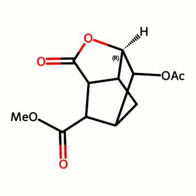 COC(=O)C1C2CC3C1C(=O)O[C@H]3C2OC(C)=O